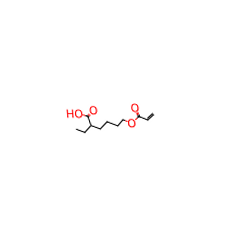 C=CC(=O)OCCCCC(CC)C(=O)O